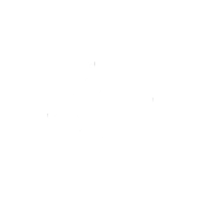 Cc1ccc(S(C)(=O)=O)c(CN)c1.Cl